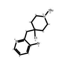 CCC1(Cc2ncccc2Br)CCN(C(C)(C)C)CC1